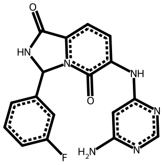 Nc1cc(Nc2ccc3n(c2=O)C(c2cccc(F)c2)NC3=O)ncn1